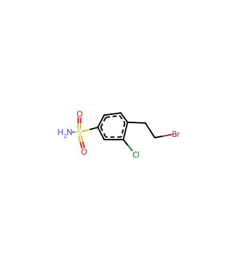 NS(=O)(=O)c1ccc(CCBr)c(Cl)c1